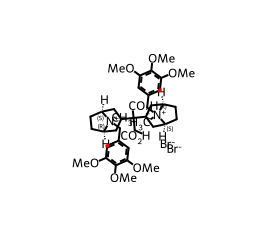 COc1cc(C[N+]2(C)[C@@H]3CC[C@H]2CC(C(CC(=O)O)(C(=O)O)C2C[C@H]4CC[C@@H](C2)[N+]4(C)Cc2cc(OC)c(OC)c(OC)c2)C3)cc(OC)c1OC.[Br-].[Br-]